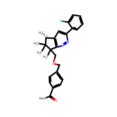 COC(=O)c1ccc(COCC2(C)c3nnc(-c4ccccc4F)cc3[C@@H](C)C2(C)C)cc1